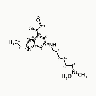 CCc1nc2cc(NCCCCCCN(C)C)cc(C(=O)C=O)c2o1